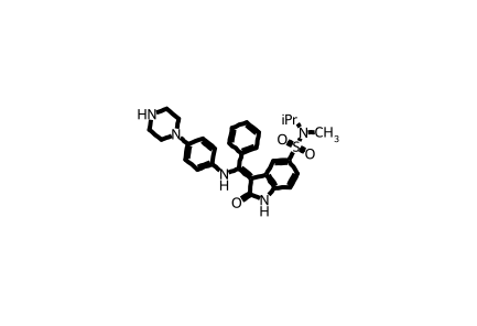 CC(C)N(C)S(=O)(=O)c1ccc2c(c1)/C(=C(/Nc1ccc(N3CCNCC3)cc1)c1ccccc1)C(=O)N2